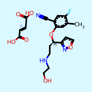 Cc1cc(O[C@H](CCNCCO)c2ccon2)c(C#N)cc1F.O=C(O)/C=C/C(=O)O